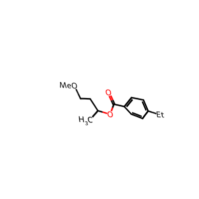 CCc1ccc(C(=O)OC(C)CCOC)cc1